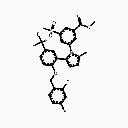 COC(=O)c1cc(-n2c(C)ccc2-c2cc(C(F)(F)F)ccc2OCc2ccc(F)cc2F)cc(S(C)(=O)=O)c1